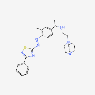 Cc1cc(C(C)NCC[N+]23CCN(CC2)CC3)ccc1N=Nc1nc(-c2ccccc2)ns1